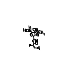 CC(CCc1cc(/C(F)=C\C2CC2)on1)(C(=O)NO)S(C)(=O)=O